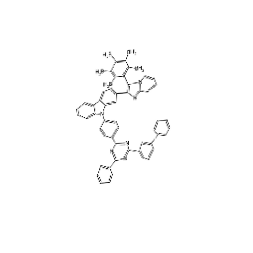 Bc1c(B)c(B)c(-c2c(-c3ccc4c5ccccc5n(-c5ccc(-c6nc(-c7ccccc7)nc(-c7cccc(-c8ccccc8)c7)n6)cc5)c4c3)nc3ccccn23)c(B)c1B